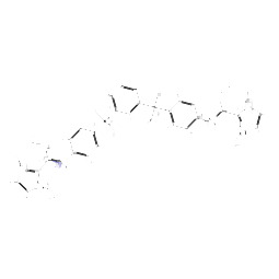 CO/C(=N\c1ccc(C(C)(C)c2cccc(C(C)(C)c3ccc(/N=C(\OC)c4n(C)cc[n+]4C)cc3)c2)cc1)c1n(C)cc[n+]1C